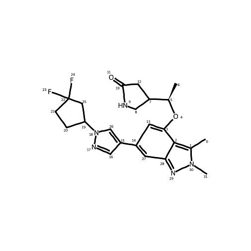 Cc1c2c(O[C@H](C)C3CNC(=O)C3)cc(-c3cnn(C4CCC(F)(F)C4)c3)cc2nn1C